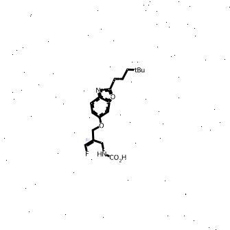 CC(C)(C)CCCc1nc2ccc(OC/C(=C/F)CNC(=O)O)cc2o1